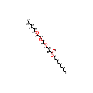 CCCCCCCCCOC(=O)CCCOCCOCCOCCCCCC